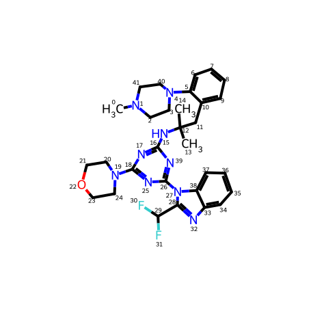 CN1CCN(c2ccccc2CC(C)(C)Nc2nc(N3CCOCC3)nc(-n3c(C(F)F)nc4ccccc43)n2)CC1